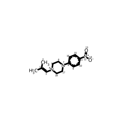 CC(C)=CN1CCN(c2ccc([N+](=O)[O-])cc2)CC1